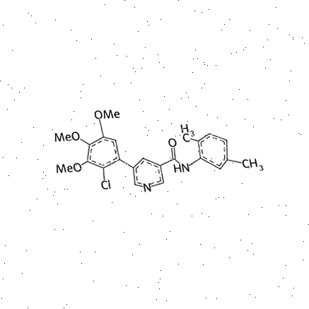 COc1cc(-c2cncc(C(=O)Nc3cc(C)ccc3C)c2)c(Cl)c(OC)c1OC